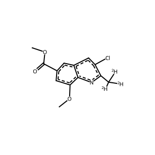 [2H]C([2H])([2H])c1nc2c(OC)cc(C(=O)OC)cc2cc1Cl